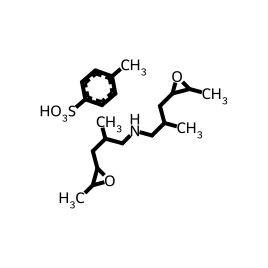 CC(CNCC(C)CC1OC1C)CC1OC1C.Cc1ccc(S(=O)(=O)O)cc1